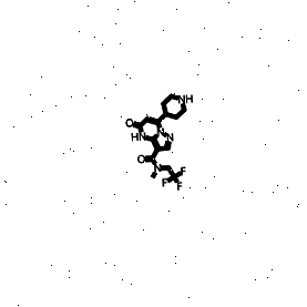 CN(CC(F)(F)F)C(=O)c1cnn2c(C3CCNCC3)cc(=O)[nH]c12